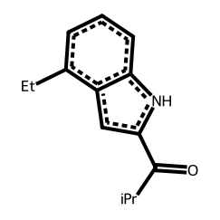 CCc1cccc2[nH]c(C(=O)C(C)C)cc12